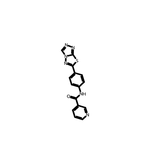 O=C(Nc1ccc(-c2nn3cnnc3s2)cc1)c1cccnc1